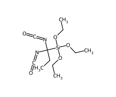 CCO[Si](OCC)(OCC)C(CC)(N=C=O)N=C=O